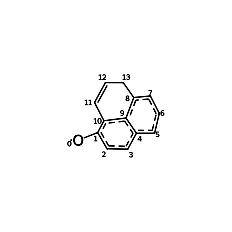 [O]c1ccc2cccc3c2c1C=CC3